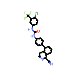 N#Cc1nccc2c(-c3ccc(NC(=O)Nc4ccc(Cl)c(C(F)(F)F)c4)cc3)cccc12